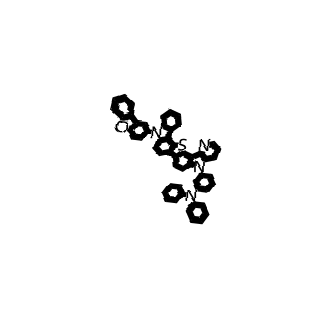 c1ccc(N(c2ccccc2)c2cccc(-n3c4cccnc4c4c5sc6c(ccc7c6c6ccccc6n7-c6ccc7oc8ccccc8c7c6)c5ccc43)c2)cc1